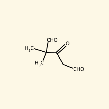 CC(C)(C=O)C(=O)CC=O